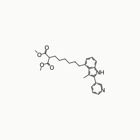 COC(=O)C(CCCCCCc1cccc2[nH]c(-c3cccnc3)c(C)c12)C(=O)OC